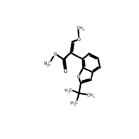 CO/C=C(/C(=O)OC)c1cccc2cc(C(C)(C)C)oc12